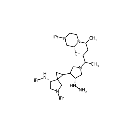 CC(C)N[C@H]1CN(C(C)C)CC12CC2C1CN(C(C)CCC(C)N2CCN(C(C)C)C[C@H]2C)C[C@@H]1NN